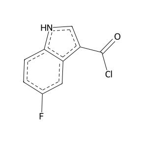 O=C(Cl)c1c[nH]c2ccc(F)cc12